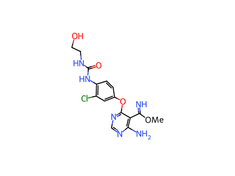 COC(=N)c1c(N)ncnc1Oc1ccc(NC(=O)NCCO)c(Cl)c1